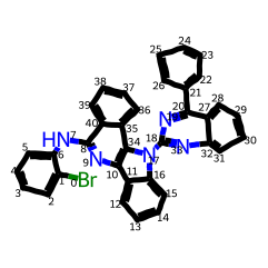 Brc1ccccc1Nc1nc2c3ccccc3n(-c3nc(-c4ccccc4)c4ccccc4n3)c2c2ccccc12